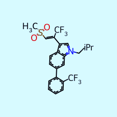 CC(C)Cn1cc(C(=CS(C)(=O)=O)C(F)(F)F)c2ccc(-c3ccccc3C(F)(F)F)cc21